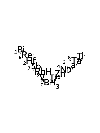 B.[Bi].[Hf].[La].[Nb].[RbH].[Re].[Sb].[Ta].[Ti].[Tl].[V].[Zn]